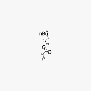 [CH2]CCCCCCOC(=O)C=C